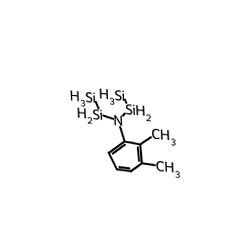 Cc1cccc(N([SiH2][SiH3])[SiH2][SiH3])c1C